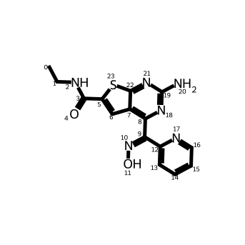 CCNC(=O)c1cc2c(C(=NO)c3ccccn3)nc(N)nc2s1